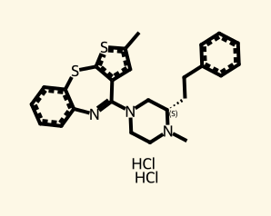 Cc1cc2c(s1)Sc1ccccc1N=C2N1CCN(C)[C@@H](CCc2ccccc2)C1.Cl.Cl